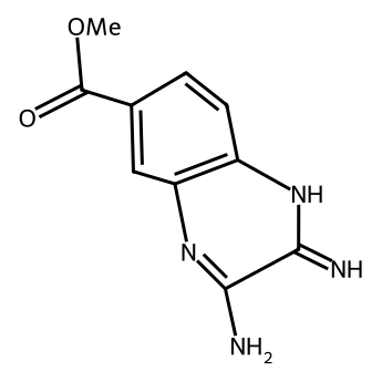 COC(=O)c1ccc2[nH]c(=N)c(N)nc2c1